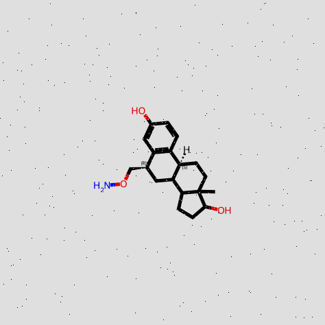 CC12CC[C@@H]3c4ccc(O)cc4[C@H](CON)CC3C1CCC2O